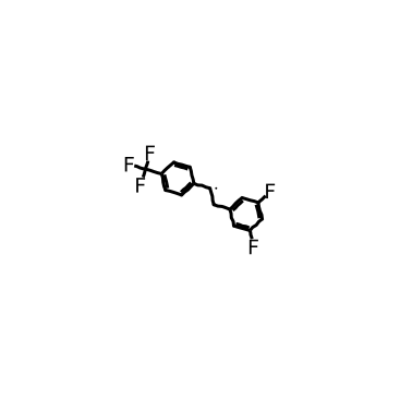 Fc1cc(F)cc(C[CH]c2ccc(C(F)(F)F)cc2)c1